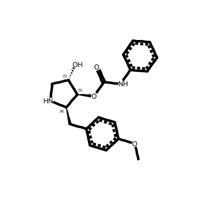 COc1ccc(C[C@H]2NC[C@H](O)[C@H]2OC(=O)Nc2ccccc2)cc1